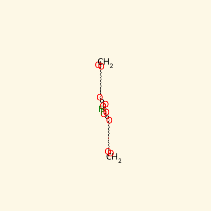 C=CC(=O)OCCCCCCCCCCCCCCCCCCOc1ccc(C(=O)Oc2ccc(OC(=O)c3ccc(OCCCCCCCCCCCCCCCCCCOC(=O)C=C)cc3)c(F)c2F)cc1